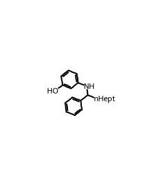 CCCCCCCC(Nc1cccc(O)c1)c1ccccc1